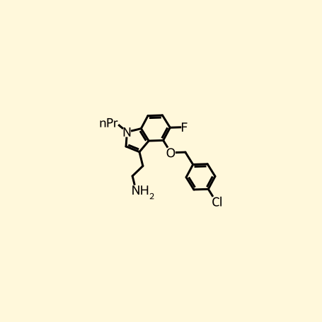 CCCn1cc(CCN)c2c(OCc3ccc(Cl)cc3)c(F)ccc21